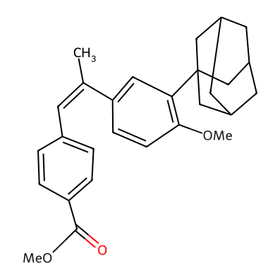 COC(=O)c1ccc(/C=C(/C)c2ccc(OC)c(C34CC5CC(CC(C5)C3)C4)c2)cc1